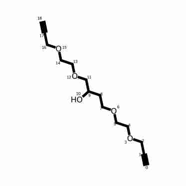 C#CCOCCOCCC(O)COCCOCC#C